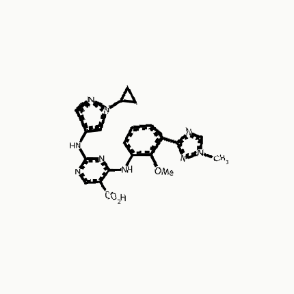 COc1c(Nc2nc(Nc3cnn(C4CC4)c3)ncc2C(=O)O)cccc1-c1ncn(C)n1